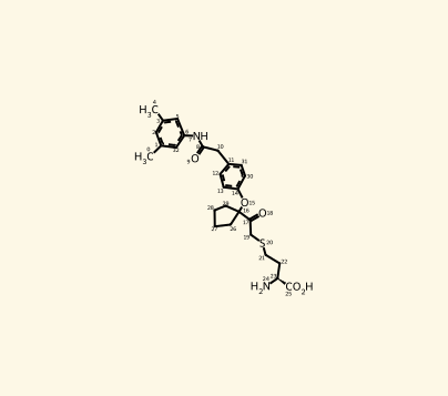 Cc1cc(C)cc(NC(=O)Cc2ccc(OC3(C(=O)CSCC[C@H](N)C(=O)O)CCCC3)cc2)c1